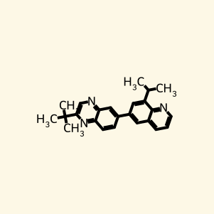 CC(C)c1cc(-c2ccc3nc(C(C)(C)C)cnc3c2)cc2cccnc12